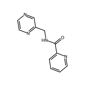 O=C(NCc1cnccn1)c1ccccn1